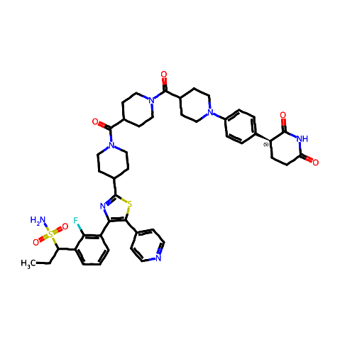 CCC(c1cccc(-c2nc(C3CCN(C(=O)C4CCN(C(=O)C5CCN(c6ccc([C@@H]7CCC(=O)NC7=O)cc6)CC5)CC4)CC3)sc2-c2ccncc2)c1F)S(N)(=O)=O